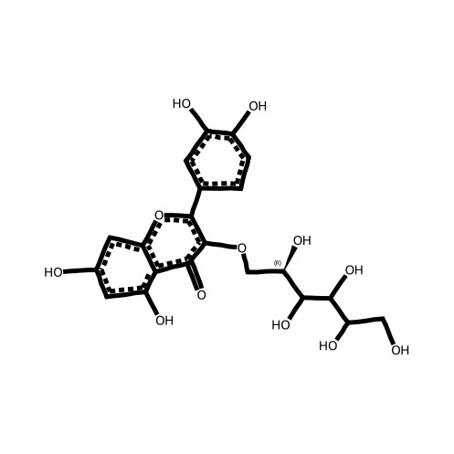 O=c1c(OC[C@@H](O)C(O)C(O)C(O)CO)c(-c2ccc(O)c(O)c2)oc2cc(O)cc(O)c12